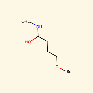 CC(C)(C)OCCCC(O)NC=O